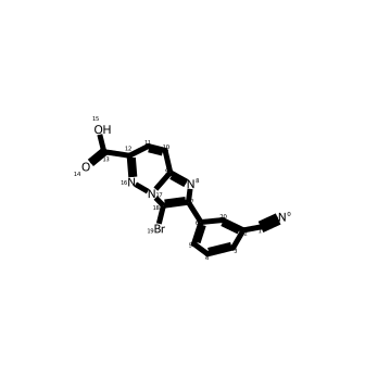 N#Cc1cccc(-c2nc3ccc(C(=O)O)nn3c2Br)c1